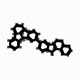 c1ccc2c(c1)ccc1c3cc(-c4ccc5c6cccc7c8ccccc8n(c5c4)c76)ccc3sc21